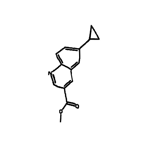 COC(=O)c1cnc2ccc(C3CC3)cc2c1